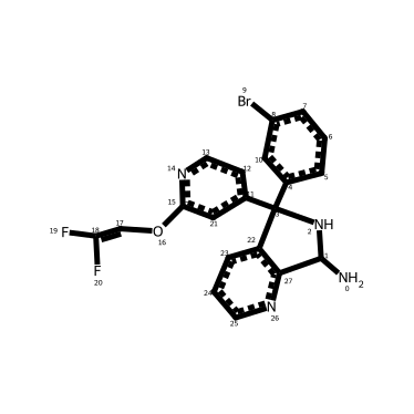 NC1NC(c2cccc(Br)c2)(c2ccnc(OC=C(F)F)c2)c2cccnc21